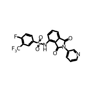 O=C1c2cccc(NS(=O)(=O)c3ccc(F)c(C(F)(F)F)c3)c2C(=O)N1c1cccnc1